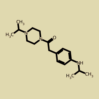 CC(C)Nc1ccc(CC(=O)N2CCN(C(C)C)CC2)cc1